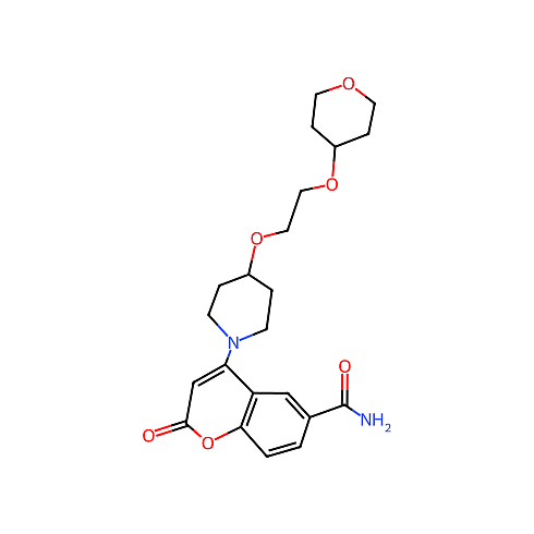 NC(=O)c1ccc2oc(=O)cc(N3CCC(OCCOC4CCOCC4)CC3)c2c1